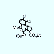 CCOC(=O)[C@@H]1CC[C@H](c2c(OC)ccc(Cl)c2Cl)N1C(=O)OC(C)(C)C